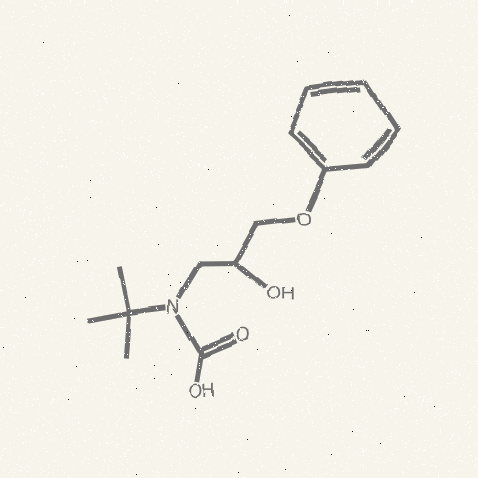 CC(C)(C)N(CC(O)COc1ccccc1)C(=O)O